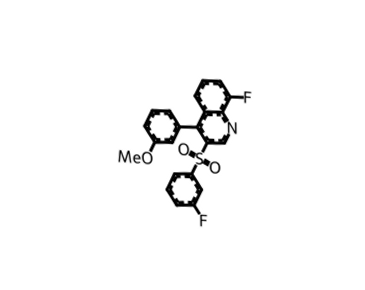 COc1cccc(-c2c(S(=O)(=O)c3cccc(F)c3)cnc3c(F)cccc23)c1